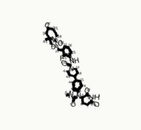 Cn1c(=O)n(C2CCC(=O)NC2=O)c2ccc(C3CCN(C(=O)Nc4cccc(CS(=O)(=O)N5CCC(=O)CC5(C)C)c4F)CC3)cc21